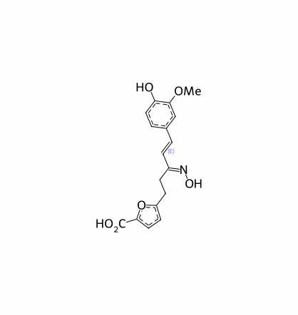 COc1cc(/C=C/C(CCc2ccc(C(=O)O)o2)=NO)ccc1O